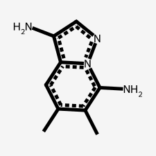 Cc1cc2c(N)cnn2c(N)c1C